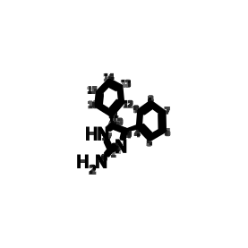 NC1=N[C@H](c2ccccc2)[C@@H](c2ccccc2)N1